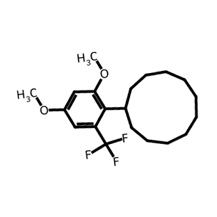 COc1cc(OC)c(C2CCCCCCCCCC2)c(C(F)(F)F)c1